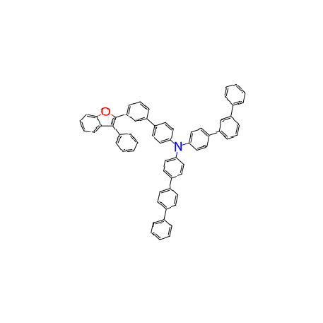 c1ccc(-c2ccc(-c3ccc(N(c4ccc(-c5cccc(-c6ccccc6)c5)cc4)c4ccc(-c5cccc(-c6oc7ccccc7c6-c6ccccc6)c5)cc4)cc3)cc2)cc1